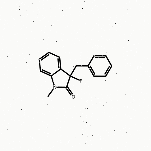 CN1C(=O)C(F)(Cc2ccccc2)c2ccccc21